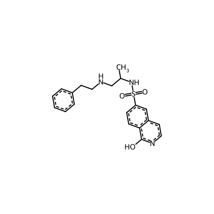 CC(CNCCc1ccccc1)NS(=O)(=O)c1ccc2c(O)nccc2c1